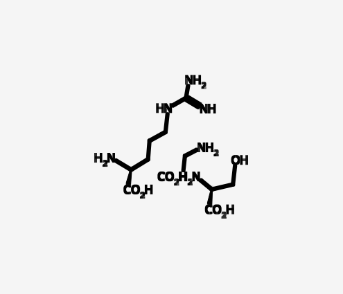 N=C(N)NCCC[C@H](N)C(=O)O.NCC(=O)O.N[C@@H](CO)C(=O)O